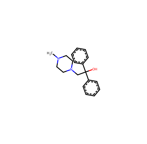 CN1CCN(CC(O)(c2ccccc2)c2ccccc2)CC1